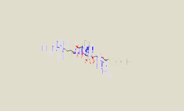 CC(C)[C@H](NC(=O)[C@H](CO)NC(=O)CNC(=O)[C@@H](N)CC(=O)O)C(=O)N[C@@H](CCCNC(=N)N)C(=O)O